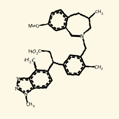 COc1ccc2c(c1)CN(Cc1cc(C(CC(=O)O)c3ccc4c(nnn4C)c3C)ccc1C)CC(C)C2